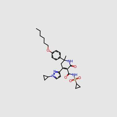 CCCCCCOc1ccc(C2(C)CC(c3ccn(C4CC4)n3)=C(C(=O)NS(=O)(=O)C3CC3)C(=O)N2)cc1